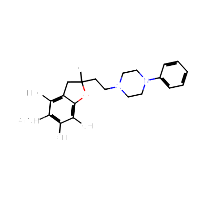 CC(=O)Nc1c(C)c(C)c2c(c1C)CC(C)(CCN1CCN(c3ccccc3)CC1)O2